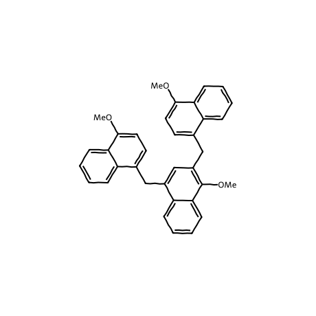 COc1ccc(Cc2cc(Cc3ccc(OC)c4ccccc34)c3ccccc3c2OC)c2ccccc12